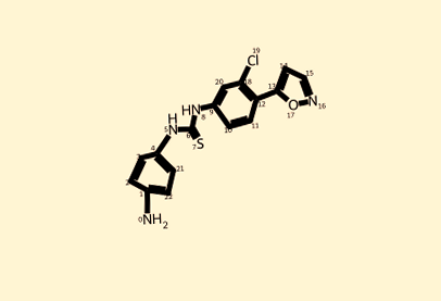 Nc1ccc(NC(=S)Nc2ccc(-c3ccno3)c(Cl)c2)cc1